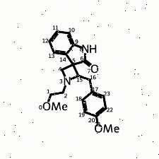 COCCN1CC2(C(=O)Nc3ccccc32)C1Cc1ccc(OC)cc1